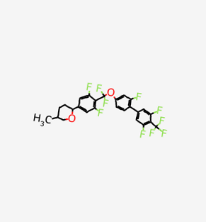 CC1CCC(c2cc(F)c(C(F)(F)Oc3ccc(-c4cc(F)c(C(F)(F)F)c(F)c4)c(F)c3)c(F)c2)OC1